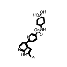 CC(C)c1cc2c(-c3ccc(S(=O)(=O)NC4CCS(O)(O)CC4)cn3)ccnc2[nH]1